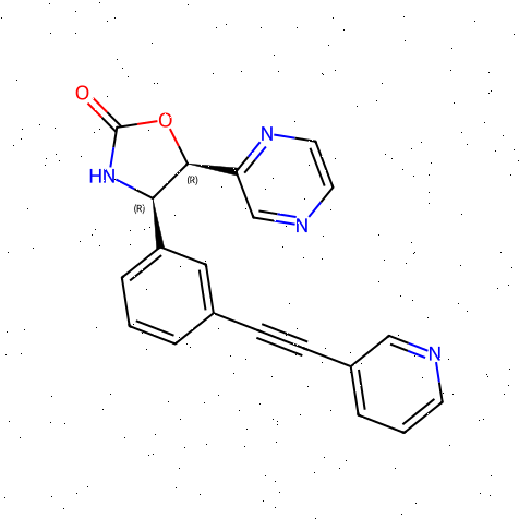 O=C1N[C@H](c2cccc(C#Cc3cccnc3)c2)[C@H](c2cnccn2)O1